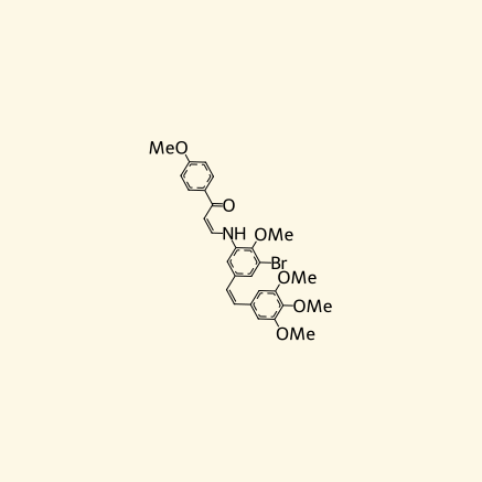 COc1ccc(C(=O)/C=C\Nc2cc(/C=C\c3cc(OC)c(OC)c(OC)c3)cc(Br)c2OC)cc1